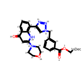 CCCCCCCCCCCOC(=O)c1cccc(Cn2cc(-c3cccc4c(=O)cc(N5CCOCC5)[nH]c34)nn2)c1